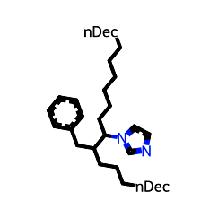 CCCCCCCCCCCCCCCCC(C(CCCCCCCCCCCCC)Cc1ccccc1)n1ccnc1